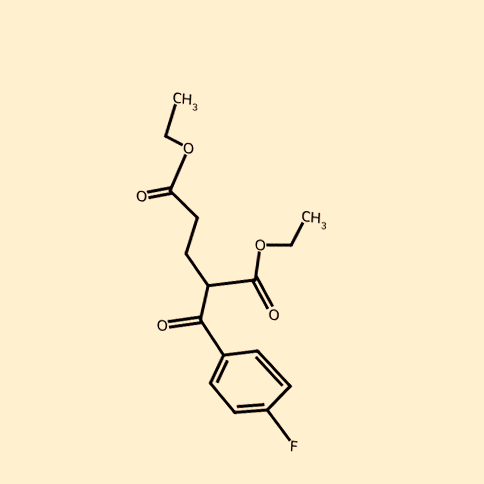 CCOC(=O)CCC(C(=O)OCC)C(=O)c1ccc(F)cc1